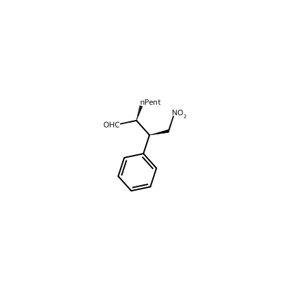 CCCCC[C@H](C=O)[C@@H](C[N+](=O)[O-])c1ccccc1